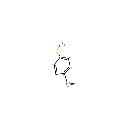 C[N]c1ccc(SC(F)(F)F)cc1